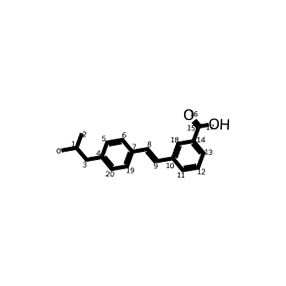 CC(C)Cc1ccc(C=Cc2cccc(C(=O)O)c2)cc1